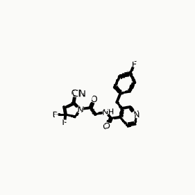 N#CC1CC(F)(F)CN1C(=O)CNC(=O)c1ccncc1Cc1ccc(F)cc1